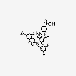 O=C(Cc1c(Cl)cc(C2CC2)cc1Cl)N(Cc1cc(F)cc(F)c1)C(=O)c1cnn([C@H]2CC[C@H](C(=O)O)CC2)c1C(F)(F)F